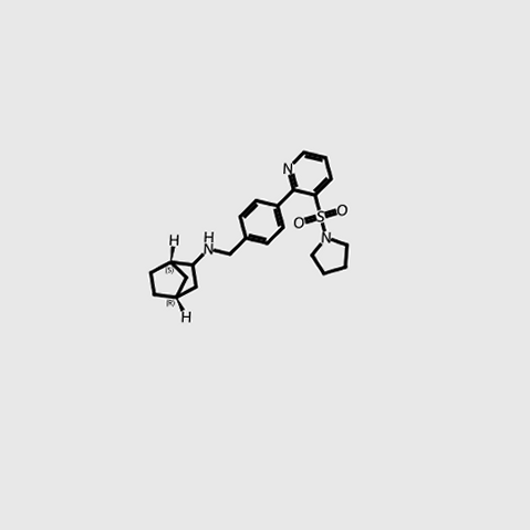 O=S(=O)(c1cccnc1-c1ccc(CNC2C[C@@H]3CC[C@H]2C3)cc1)N1CCCC1